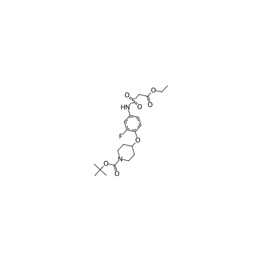 CCOC(=O)CS(=O)(=O)Nc1ccc(OC2CCN(C(=O)OC(C)(C)C)CC2)c(F)c1